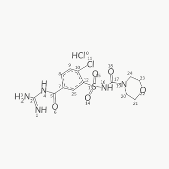 Cl.N=C(N)NC(=O)c1ccc(Cl)c(S(=O)(=O)NC(=O)N2CCOCC2)c1